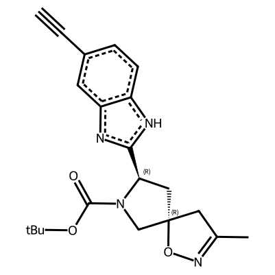 C#Cc1ccc2[nH]c([C@H]3C[C@@]4(CC(C)=NO4)CN3C(=O)OC(C)(C)C)nc2c1